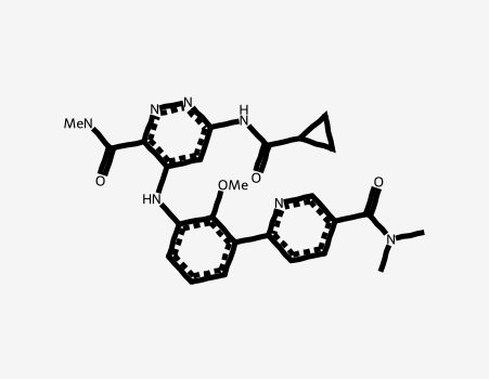 CNC(=O)c1nnc(NC(=O)C2CC2)cc1Nc1cccc(-c2ccc(C(=O)N(C)C)cn2)c1OC